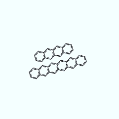 c1ccc2cc3cc4cc5cc6ccccc6cc5cc4cc3cc2c1.c1ccc2cc3cc4ccccc4cc3cc2c1